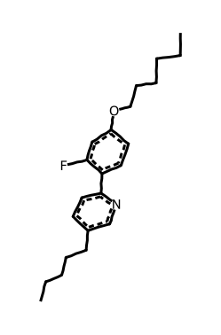 CCCCCCOc1ccc(-c2ccc(CCCCC)cn2)c(F)c1